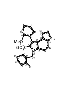 CCOC(=O)c1c(-c2cccnc2OC)c2c3ncsc3ccc2n1Cc1ccccc1C